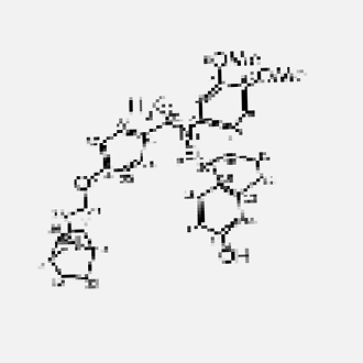 CCN(c1cc(OC)c(OC)cc1[C@@H]1CCc2cc(O)ccc2C1)C(C)c1ccc(OCCN2C3CCC2CC3)cc1